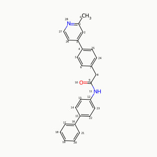 Cc1cc(-c2ccc(CC(=O)Nc3ccc(-c4ccccc4)cc3)cc2)ccn1